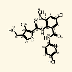 COc1cc(Cl)cc(C(=O)Nc2ccc(Cl)cn2)c1NC(=O)c1scc(CO)c1Cl